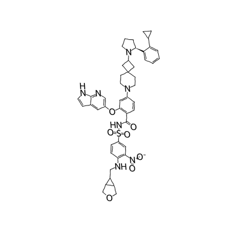 O=C(NS(=O)(=O)c1ccc(NCC2C3COCC23)c([N+](=O)[O-])c1)c1ccc(N2CCC3(CC2)CC(N2CCC[C@H]2c2ccccc2C2CC2)C3)cc1Oc1cnc2[nH]ccc2c1